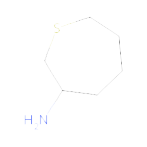 NC1CCCCSC1